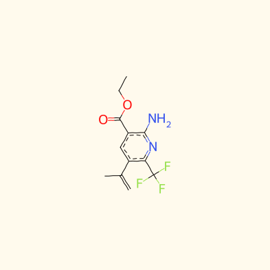 C=C(C)c1cc(C(=O)OCC)c(N)nc1C(F)(F)F